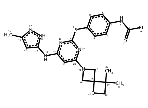 CCC(=O)Nc1ccc(Sc2nc(Nc3cc(C)n[nH]3)cc(N3CC4(C3)OCC4(C)C)n2)cc1